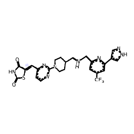 O=C1NC(=O)/C(=C/c2ccnc(N3CCC(CNCc4cc(C(F)(F)F)cc(-c5cn[nH]c5)n4)CC3)n2)S1